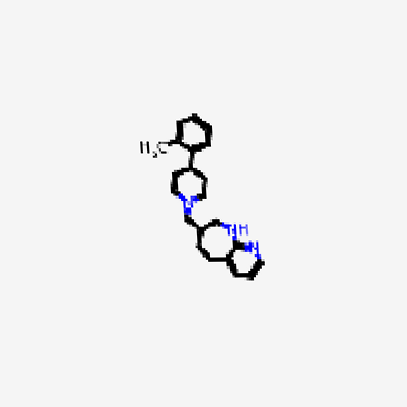 Cc1ccccc1C1CCN(CC2CCc3cccnc3NC2)CC1